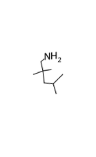 CC(C)CC(C)(C)CN